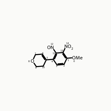 COc1ccc(C2=CCOCC2)c(N=O)c1[N+](=O)[O-]